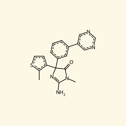 Cc1sccc1C1(c2cccc(-c3cncnc3)c2)N=C(N)N(C)C1=O